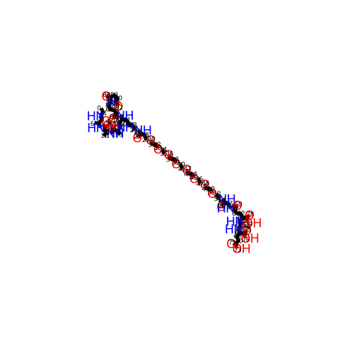 CCNC(=O)C(C)NC(=O)C(C)NC(=O)C(C)NC(=O)C(CCCCNC(=O)CCOCCOCCOCCOCCOCCOCCOCCOCCNC(=O)CNC(=O)CCC(NC(=O)NC(CCC(=O)O)C(=O)O)C(=O)O)NC(=O)CCCN1C(=O)C=CC1=O